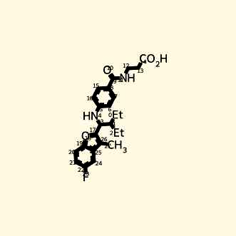 CCC(CC)C(Nc1ccc(C(=O)NCCC(=O)O)cc1)c1oc2ccc(F)cc2c1C